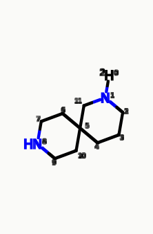 [2H]N1CCCC2(CCNCC2)C1